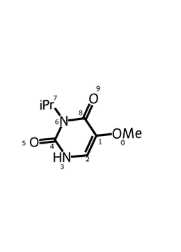 COc1c[nH]c(=O)n(C(C)C)c1=O